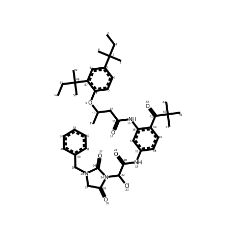 CCC(C)(C)c1ccc(OC(C)CC(=O)Nc2cc(NC(=O)C(Cl)N3C(=O)CN(Cc4ccccc4)C3=O)ccc2C(=O)C(C)(C)C)c(C(C)(C)CC)c1